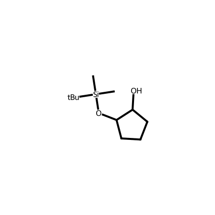 CC(C)(C)[Si](C)(C)OC1CCCC1O